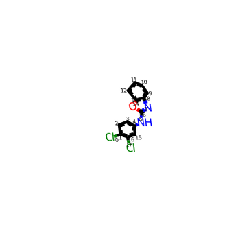 Clc1ccc(Nc2nc3ccccc3o2)cc1Cl